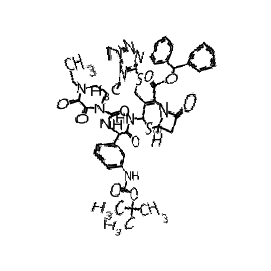 CCN1CCN(C(=O)NC(C(=O)NC2S[C@H]3CC(=O)N3C(C(=O)OC(c3ccccc3)c3ccccc3)=C2CSc2nnnn2C)c2cccc(NC(=O)OC(C)(C)C)c2)C(=O)C1=O